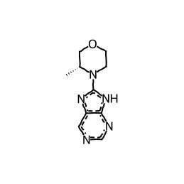 C[C@@H]1COCCN1c1nc2cncnc2[nH]1